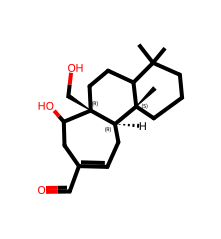 CC1(C)CCC[C@@]2(C)C1CC[C@@]1(CO)C(O)CC(C=O)=CC[C@@H]12